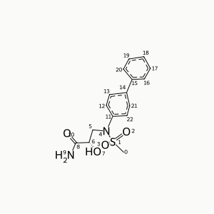 CS(=O)(=O)N(C[C@H](O)C(N)=O)c1ccc(-c2ccccc2)cc1